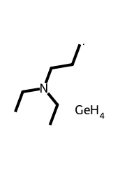 [CH2]CCN(CC)CC.[GeH4]